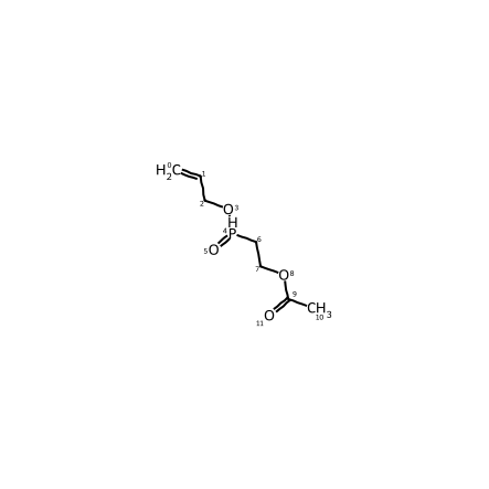 C=CCO[PH](=O)CCOC(C)=O